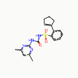 Cc1cc(C)nc(NC(=O)NS(=O)(=O)c2ccccc2C2=CCCC2)n1